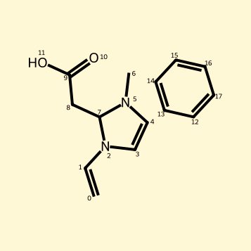 C=CN1C=CN(C)C1CC(=O)O.c1ccccc1